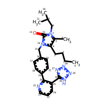 CCCCc1c(C)n(CC(C)C)c(=O)n1Cc1ccc(-c2ncccc2-c2nnn[nH]2)cc1